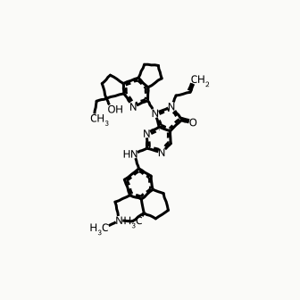 C=CCn1c(=O)c2cnc(Nc3cc4c5c(c3)CN(C)CC5(C)CCC4)nc2n1-c1nc2c(c3c1CCC3)CCC2(O)CC